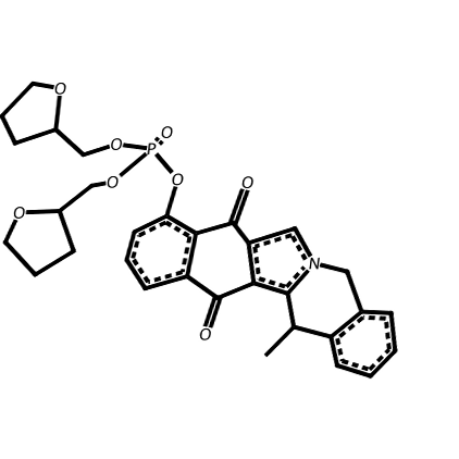 CC1c2ccccc2Cn2cc3c(c21)C(=O)c1cccc(OP(=O)(OCC2CCCO2)OCC2CCCO2)c1C3=O